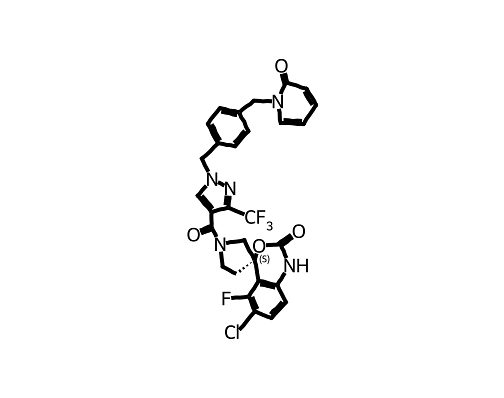 O=C1Nc2ccc(Cl)c(F)c2[C@]2(CCN(C(=O)c3cn(Cc4ccc(Cn5ccccc5=O)cc4)nc3C(F)(F)F)C2)O1